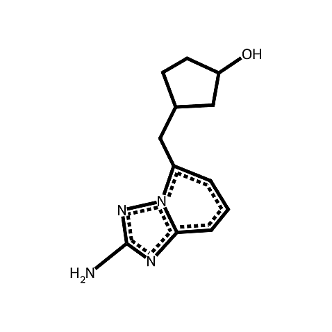 Nc1nc2cccc(CC3CCC(O)C3)n2n1